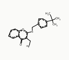 CC(C)(C)c1ccc(CSc2oc3ccccc3c(=O)c2C[18F])cc1